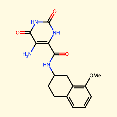 COc1cccc2c1CC(NC(=O)c1[nH]c(=O)[nH]c(=O)c1N)CC2